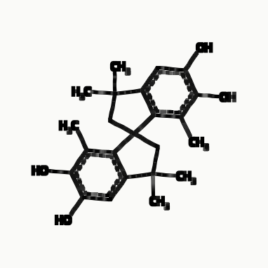 Cc1c(O)c(O)cc2c1C1(CC2(C)C)CC(C)(C)c2cc(O)c(O)c(C)c21